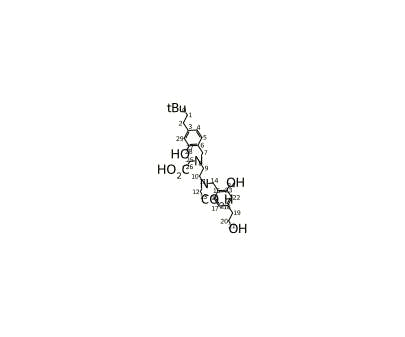 CC(C)(C)CCc1ccc(CN(CCN(CC(=O)O)Cc2ccc(CCO)cc2O)CC(=O)O)c(O)c1